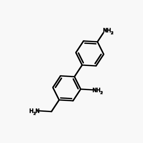 NCc1ccc(-c2ccc(N)cc2)c(N)c1